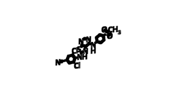 CS(=O)(=O)c1ccc(Nc2ncnc3sc(Nc4c(Cl)cc(C#N)cc4Cl)nc23)cc1